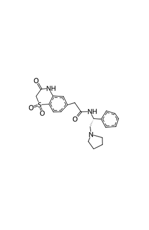 O=C1CS(=O)(=O)c2ccc(CC(=O)N[C@@H](CN3CCCC3)c3ccccc3)cc2N1